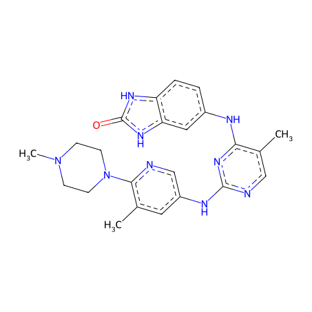 Cc1cnc(Nc2cnc(N3CCN(C)CC3)c(C)c2)nc1Nc1ccc2[nH]c(=O)[nH]c2c1